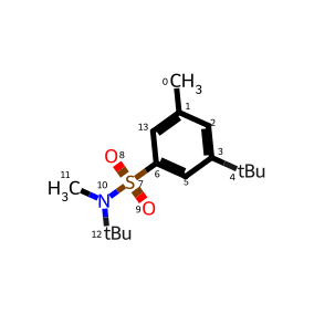 Cc1cc(C(C)(C)C)cc(S(=O)(=O)N(C)C(C)(C)C)c1